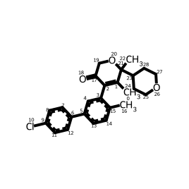 CC1=C(c2cc(-c3ccc(Cl)cc3)ccc2C)C(=O)COC1(C)C1CCOCC1